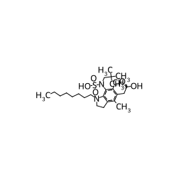 CCCCCCCCN1CCc2c(C)c(CC(=O)O)c(C)c(N(CC(C)(C)C)S(=O)(=O)O)c21